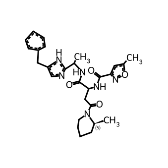 Cc1cc(C(=O)NC(CC(=O)N2CCCC[C@@H]2C)C(=O)NC(C)c2ncc(Cc3ccccc3)[nH]2)no1